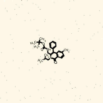 [CH2]c1ccc2c(=O)n(CC(C)C)c(CNC(=O)OC(C)(C)C)c(-c3ccccc3)c2c1